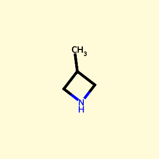 C[C]1CNC1